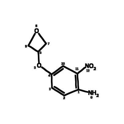 Nc1ccc(OC2COC2)cc1[N+](=O)[O-]